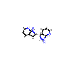 c1cnc2[nH]c(-c3n[nH]c4ncccc34)cc2c1